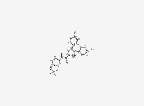 CC1(C)Cc2cc(NC(=O)N3CC(c4ccc(F)cc4)=C(c4ccc(F)cc4)N3)ccc2O1